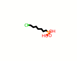 O=P(O)(O)CCCCCCCCl